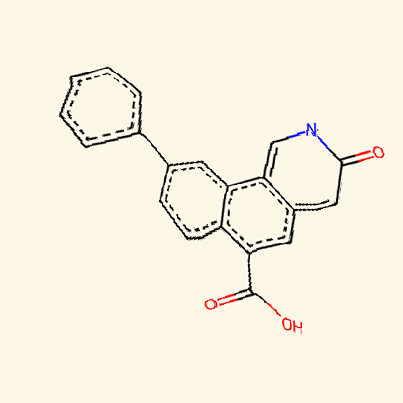 O=C1C=c2cc(C(=O)O)c3ccc(-c4ccccc4)cc3c2=C[N]1